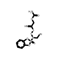 CC(C)CN(SSC(=N)COC(N)=O)P1(=S)Oc2ccccc2O1